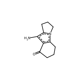 Nc1c2c(n3c1CCC3)CCCC2=O